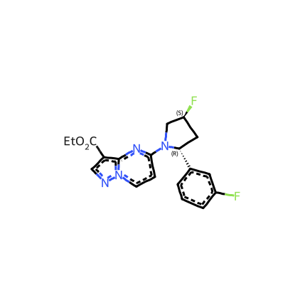 CCOC(=O)c1cnn2ccc(N3C[C@@H](F)C[C@@H]3c3cccc(F)c3)nc12